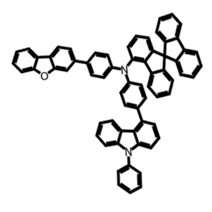 c1ccc(-n2c3ccccc3c3c(-c4ccc(N(c5ccc(-c6ccc7c(c6)oc6ccccc67)cc5)c5cccc6c5-c5ccccc5C65c6ccccc6-c6ccccc65)cc4)cccc32)cc1